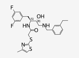 CCc1cccc(CNC[C@@H](O)[C@H](Cc2cc(F)cc(F)c2)NC(=O)CSc2nc(C)cs2)c1